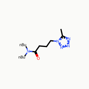 CCCCN(CCCC)C(=O)CCCn1nnnc1C